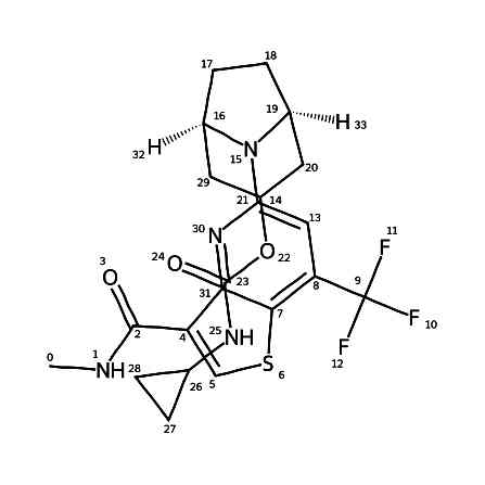 CNC(=O)c1csc2c(C(F)(F)F)cc(N3[C@@H]4CC[C@H]3CC(OC(=O)NC3CC3)C4)nc12